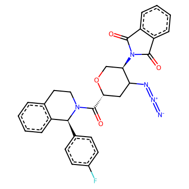 [N-]=[N+]=NC1C[C@H](C(=O)N2CCc3ccccc3[C@@H]2c2ccc(F)cc2)OC[C@H]1N1C(=O)c2ccccc2C1=O